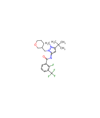 Cn1c(C(C)(C)C)c/c(=N/C(=O)c2cccc(C(F)(F)F)c2F)n1CC1CCCOC1